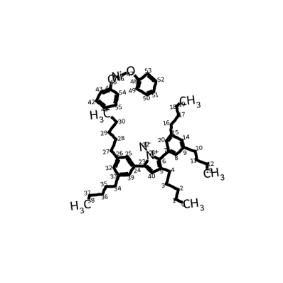 CCCCCC1=C(c2cc(CCCC)cc(CCCC)c2)[N+](=[N-])C(c2cc(CCCCC)cc(CCCCC)c2)=C1.c1ccc([O][Ni][O]c2ccccc2)cc1